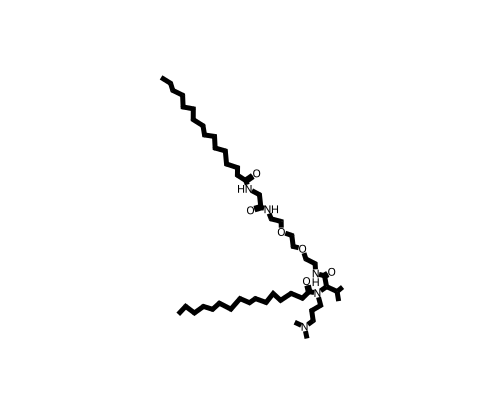 CCCCCCCCCCCCCCCC(=O)NCC(=O)NCCOCCOCCNC(=O)C(C(C)C)N(CCCN(C)C)C(=O)CCCCCCCCCCCCCCC